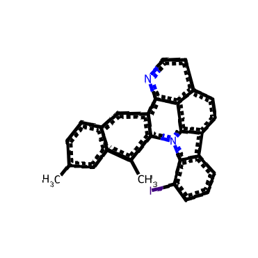 Cc1ccc2cc3c4nccc5ccc6c7cccc(I)c7n(c3c(C)c2c1)c6c54